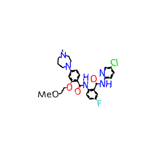 COCCOc1cc(N2CCCN(C)CC2)ccc1C(=O)Nc1ccc(F)cc1C(=O)Nc1ccc(Cl)cn1